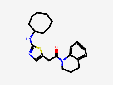 O=C(Cc1cnc(NC2CCCCCCC2)s1)N1CCCc2ccccc21